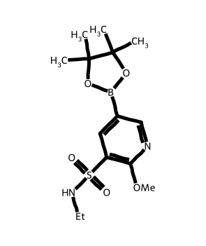 CCNS(=O)(=O)c1cc(B2OC(C)(C)C(C)(C)O2)cnc1OC